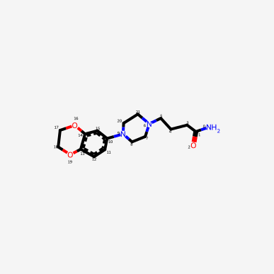 NC(=O)CCCN1CCN(c2ccc3c(c2)OCCO3)CC1